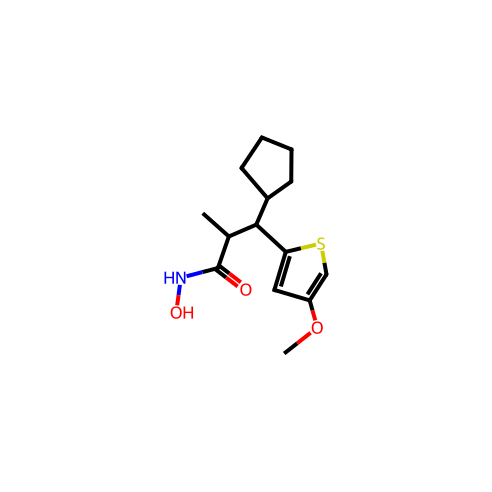 COc1csc(C(C2CCCC2)C(C)C(=O)NO)c1